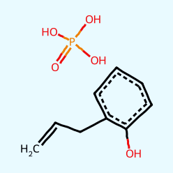 C=CCc1ccccc1O.O=P(O)(O)O